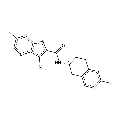 Cc1ccc2c(c1)CC[C@@H](NC(=O)c1sc3nc(C)cnc3c1N)C2